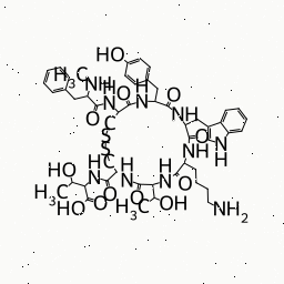 CNC(Cc1ccccc1)C(=O)NC1CSSCC(C(=O)NC(C(=O)O)C(C)O)NC(=O)C(C(C)O)NC(=O)C(CCCCN)NC(=O)C(Cc2c[nH]c3ccccc23)NC(=O)C(Cc2ccc(O)cc2)NC1=O